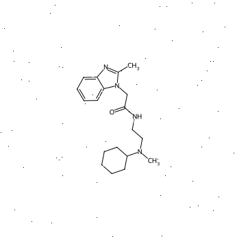 Cc1nc2ccccc2n1CC(=O)NCCN(C)C1CCCCC1